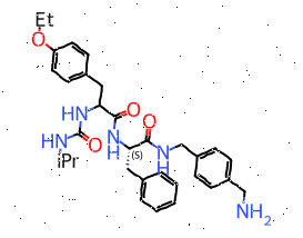 CCOc1ccc(CC(NC(=O)NC(C)C)C(=O)N[C@@H](Cc2ccccc2)C(=O)NCc2ccc(CN)cc2)cc1